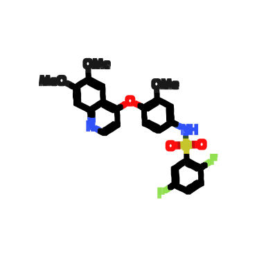 COc1cc2nccc(Oc3ccc(NS(=O)(=O)c4cc(F)ccc4F)cc3OC)c2cc1OC